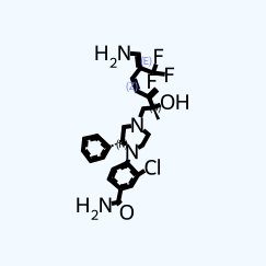 C=C(/C=C\C(=C/N)C(F)(F)F)[C@](C)(O)CN1CCN(c2ccc(C(N)=O)cc2Cl)[C@H](c2ccccc2)C1